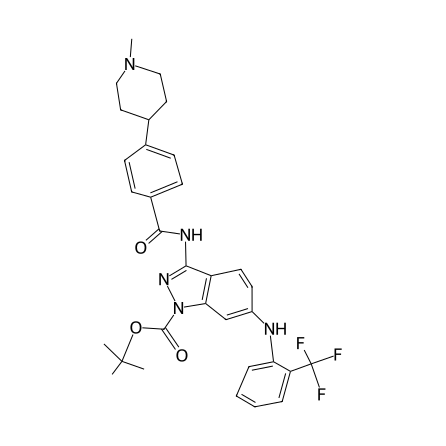 CN1CCC(c2ccc(C(=O)Nc3nn(C(=O)OC(C)(C)C)c4cc(Nc5ccccc5C(F)(F)F)ccc34)cc2)CC1